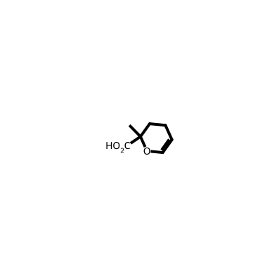 CC1(C(=O)O)CCC=CO1